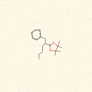 CCCCC(Cc1ccccc1)B1OC(C)(C)C(C)(C)O1